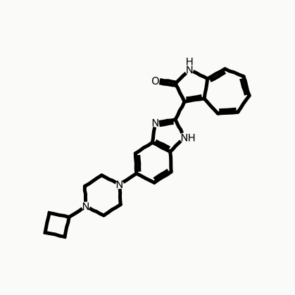 O=c1[nH]c2cccccc-2c1-c1nc2cc(N3CCN(C4CCC4)CC3)ccc2[nH]1